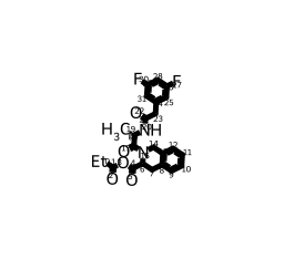 CCC(=O)OC(=O)C1Cc2ccccc2CN1C(=O)[C@H](C)NC(=O)Cc1cc(F)cc(F)c1